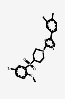 COc1ccc(Br)cc1S(=O)(=O)C1CCN(c2nc(-c3ccc(C)c(C)c3)cs2)CC1